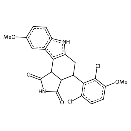 COc1ccc2[nH]c3c(c2c1)C1C(=O)NC(=O)C1C(c1c(Cl)ccc(OC)c1Cl)C3